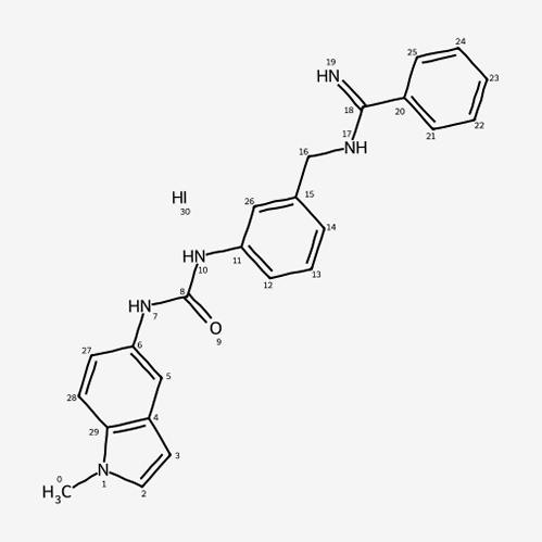 Cn1ccc2cc(NC(=O)Nc3cccc(CNC(=N)c4ccccc4)c3)ccc21.I